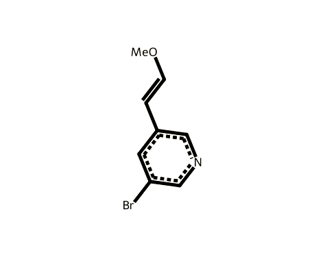 COC=Cc1cncc(Br)c1